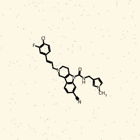 Cn1ccc(CNC(=O)n2c3c(c4ccc(C#N)cc42)CN(C/C=C/c2ccc(Cl)c(F)c2)CC3)c1